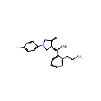 C=C1CN(c2ccc(F)cc2)C/C1=C(/NC)c1ccccc1CCC(F)(F)F